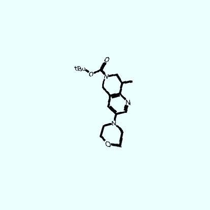 CC1CN(C(=O)OC(C)(C)C)Cc2cc(N3CCOCC3)cnc21